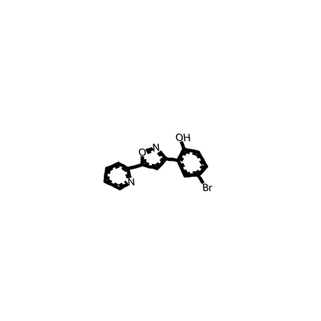 Oc1ccc(Br)cc1-c1cc(-c2ccccn2)on1